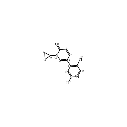 O=c1ccc(-c2nc(Cl)ncc2Cl)cn1C1CC1